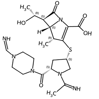 CC(=N)N1C[C@@H](SC2=C(C(=O)O)N3C(=O)[C@H]([C@@H](C)O)[C@H]3[C@H]2C)C[C@H]1C(=O)N1CCN(C=N)CC1